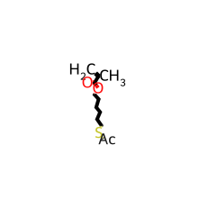 C=C(C)C(=O)OCCCCCCSC(C)=O